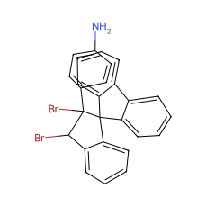 Nc1ccc(C2(Br)C(Br)c3ccccc3C23c2ccccc2-c2ccccc23)cc1